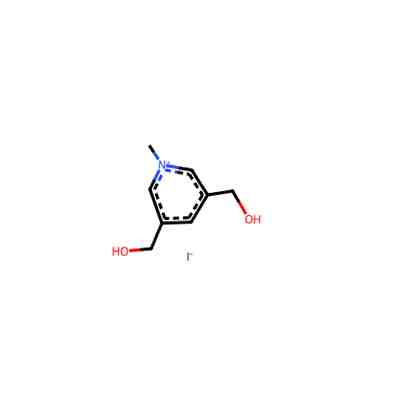 C[n+]1cc(CO)cc(CO)c1.[I-]